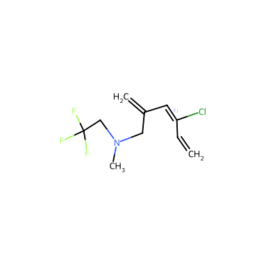 C=C/C(Cl)=C\C(=C)CN(C)CC(F)(F)F